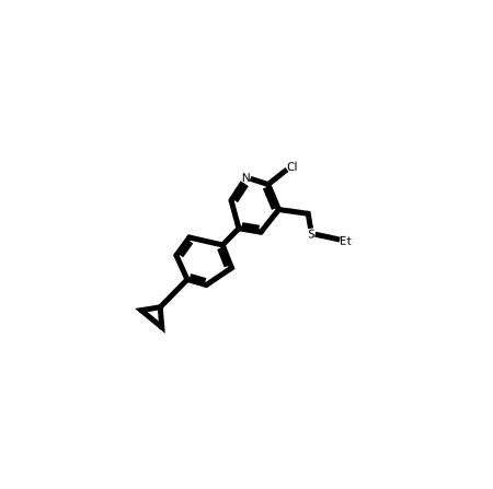 CCSCc1cc(-c2ccc(C3CC3)cc2)cnc1Cl